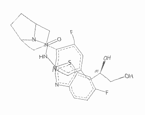 O=C(Nc1nc2ccc(F)cc2s1)N1C2CCC1CN(c1ncc(C[C@@H](O)CO)cc1F)C2